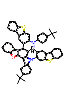 CC(C)(C)c1ccc(Nc2cc3sc4ccccc4c3cc2-c2c3c4c(c5cc(C(C)(C)C)ccc5n4-c4cc5sc6ccccc6c5cc4B3)c3oc4ccccc4c23)cc1